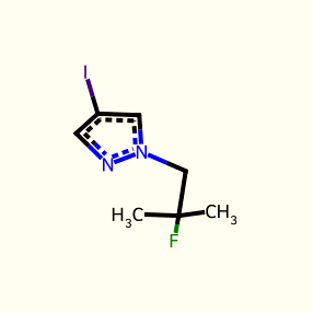 CC(C)(F)Cn1cc(I)cn1